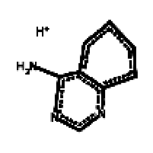 Nc1ncnc2ccccc12.[H+]